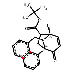 CC(C)(C)OC(=O)C1C[C@@]2(c3ccccc3)C(=O)C=C[C@@H]1N2Cc1ccccc1